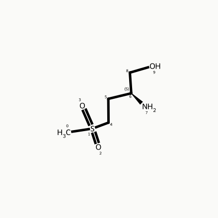 CS(=O)(=O)CC[C@H](N)CO